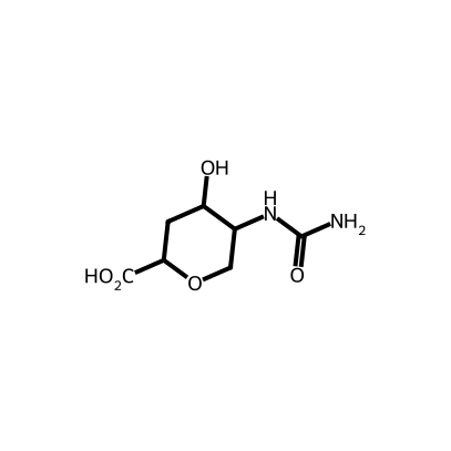 NC(=O)NC1COC(C(=O)O)CC1O